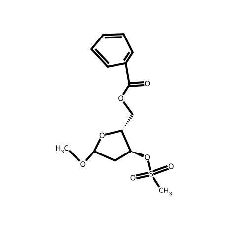 COC1C[C@H](OS(C)(=O)=O)[C@@H](COC(=O)c2ccccc2)O1